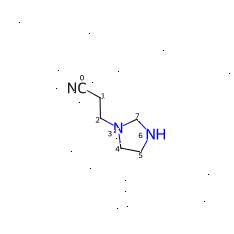 N#CCCN1CCNC1